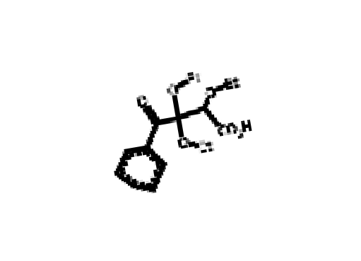 CCOC(C(=O)O)C(OCC)(OCC)C(=O)c1ccccc1